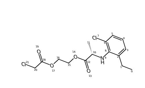 CCc1cccc(Cl)c1N[C@@H](C)C(=O)OCCOC(=O)CCl